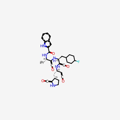 CC(C)[C@H](NC(=O)c1cc2ccccc2[nH]1)C(=C=O)N[C@@H](CC1CCC(F)CC1)C(=C=O)N[C@H](C=C=O)C[C@@H]1CCNC1=C=O